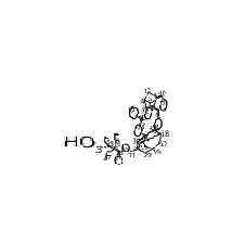 O=C(OC1C2CC3C(=O)OC1C3C2)OC12CC3CC(CC(COC(=O)C(F)(F)S(=O)(=O)O)(C3)C1)C2